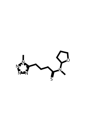 CN(C(=S)CCCc1nnnn1C)C1CCCO1